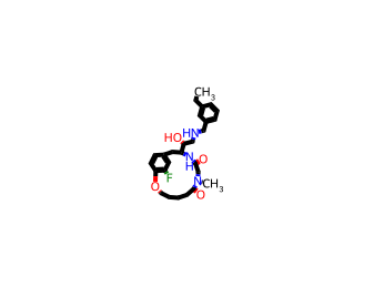 CCc1cccc(CNCC(O)C2Cc3ccc(c(F)c3)OCCCCC(=O)N(C)CC(=O)N2)c1